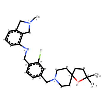 CCC(C)N1Cc2cccc(NCc3ccc(CN4CCC5(CC4)CCC(C)(C)O5)cc3F)c2C1